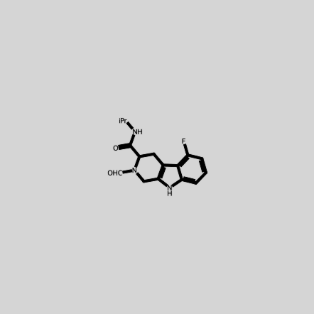 CC(C)NC(=O)C1Cc2c([nH]c3cccc(F)c23)CN1C=O